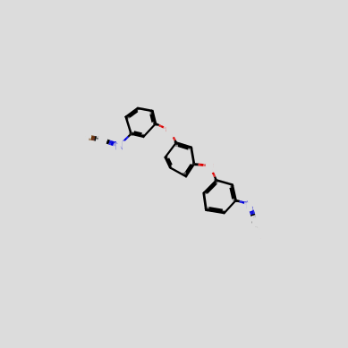 S=C=Nc1cccc(Oc2cccc(Oc3cccc(N=C=S)c3)c2)c1